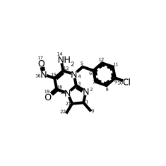 CC1N=C2N(Cc3ccc(Cl)cc3)C(N)=C(N=O)C(=O)N2C1C